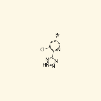 Clc1cc(Br)cnc1-c1nn[nH]n1